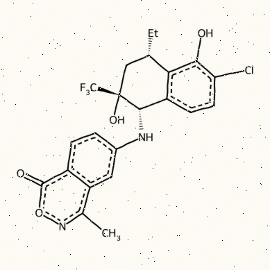 CC[C@H]1C[C@](O)(C(F)(F)F)[C@@H](Nc2ccc3c(=O)onc(C)c3c2)c2ccc(Cl)c(O)c21